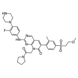 COCCS(=O)(=O)c1ccc(-c2cc3cnc(Nc4ccc(N5CCNCC5)c(F)c4)nc3n(CC(=O)N3CCCC3)c2=O)c(C)c1